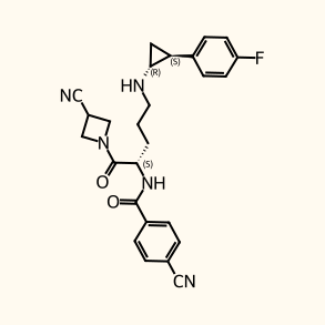 N#Cc1ccc(C(=O)N[C@@H](CCCN[C@@H]2C[C@H]2c2ccc(F)cc2)C(=O)N2CC(C#N)C2)cc1